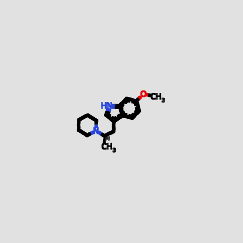 COc1ccc2c(C[C@@H](C)N3CCCCC3)c[nH]c2c1